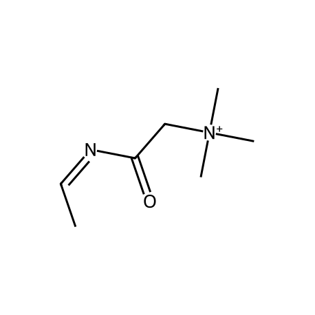 C/C=N\C(=O)C[N+](C)(C)C